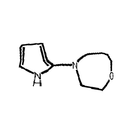 c1c[nH]c(N2CCOCC2)c1